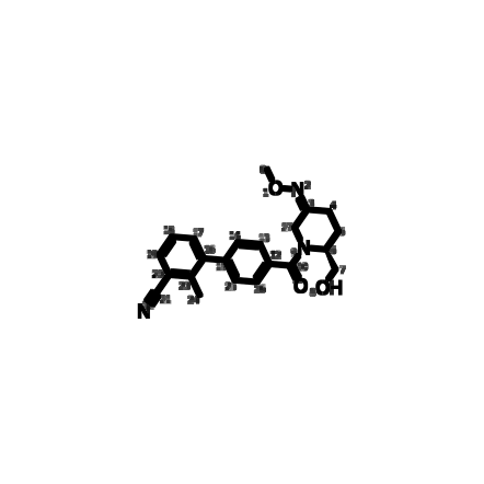 CO/N=C1/CC[C@@H](CO)N(C(=O)c2ccc(-c3cccc(C#N)c3C)cc2)C1